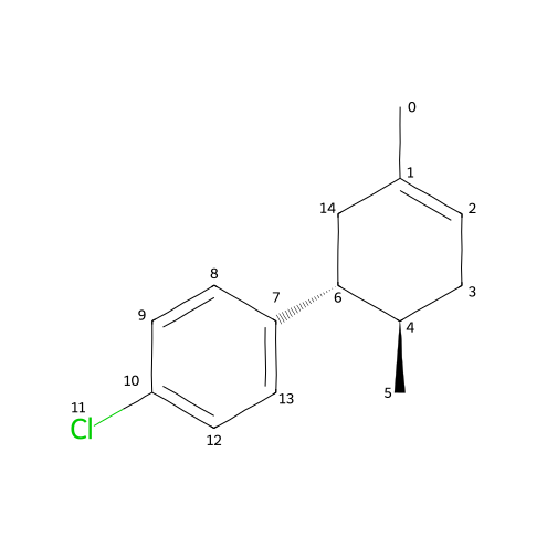 CC1=CC[C@@H](C)[C@H](c2ccc(Cl)cc2)C1